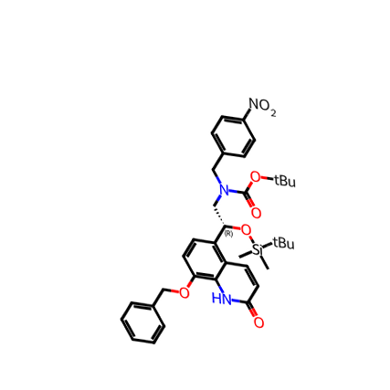 CC(C)(C)OC(=O)N(Cc1ccc([N+](=O)[O-])cc1)C[C@H](O[Si](C)(C)C(C)(C)C)c1ccc(OCc2ccccc2)c2[nH]c(=O)ccc12